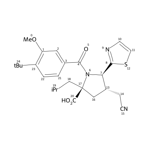 COc1cc(C(=O)N2[C@@H](c3nccs3)[C@H](CC#N)C[C@@]2(CC(C)C)C(=O)O)ccc1C(C)(C)C